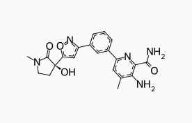 Cc1cc(-c2cccc(-c3cc([C@]4(O)CCN(C)C4=O)on3)c2)nc(C(N)=O)c1N